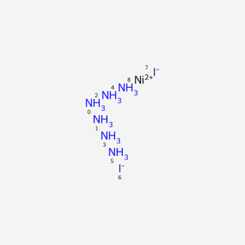 N.N.N.N.N.N.[I-].[I-].[Ni+2]